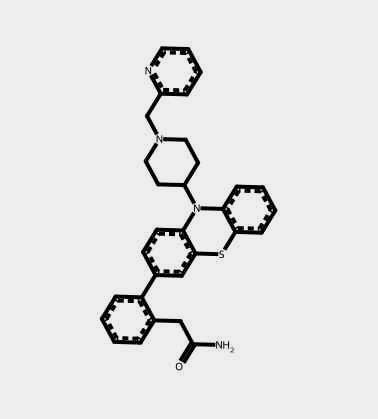 NC(=O)Cc1ccccc1-c1ccc2c(c1)Sc1ccccc1N2C1CCN(Cc2ccccn2)CC1